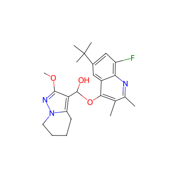 COc1nn2c(c1C(O)Oc1c(C)c(C)nc3c(F)cc(C(C)(C)C)cc13)CCCC2